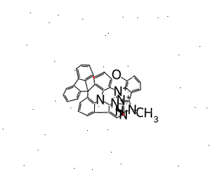 Cn1c2[n+](c3ncncc31)[N+]13c4c(cccc4-2)Oc2ccc4c(c21)-n1c2c(cccc2c2ccc[n+]3c21)C41c2ccccc2-c2ccccc21